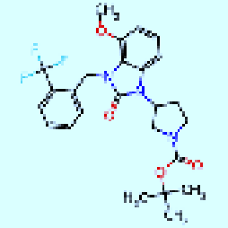 COc1cccc2c1n(Cc1ccccc1C(F)(F)F)c(=O)n2C1CCN(C(=O)OC(C)(C)C)C1